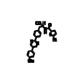 CCc1ccc(C(=O)NC(Cc2ccc(-c3ncc(-c4ccc(C(C)(C)C)cc4)cn3)cc2)C(=O)O)s1